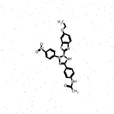 CCOc1ccc2nc(N3NC(c4ccc(NC(C)=O)cc4)=NN3c3ccc([N+](=O)[O-])cc3)sc2c1